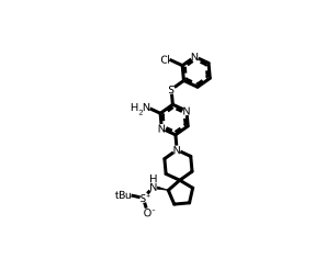 CC(C)(C)[S+]([O-])N[C@@H]1CCCC12CCN(c1cnc(Sc3cccnc3Cl)c(N)n1)CC2